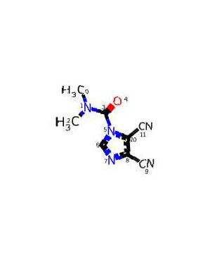 CN(C)C(=O)n1cnc(C#N)c1C#N